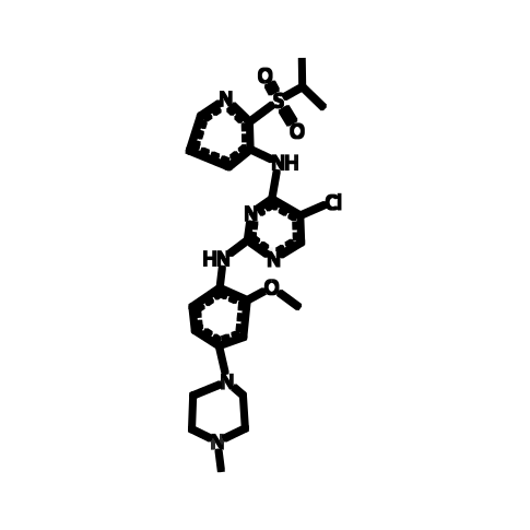 COc1cc(N2CCN(C)CC2)ccc1Nc1ncc(Cl)c(Nc2cccnc2S(=O)(=O)C(C)C)n1